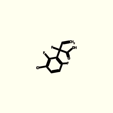 C=CC(F)(C(=O)O)c1c(F)ccc(Cl)c1F